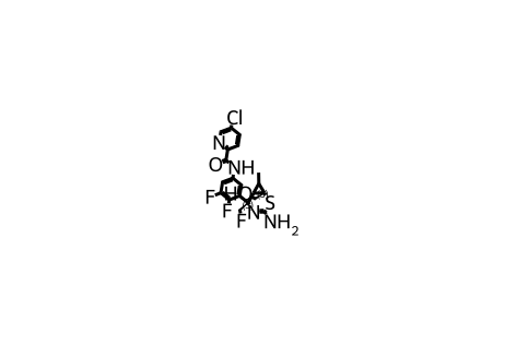 CC1C2[C@@]1(CO)SC(N)=N[C@]2(CF)c1cc(NC(=O)c2ccc(Cl)cn2)cc(F)c1F